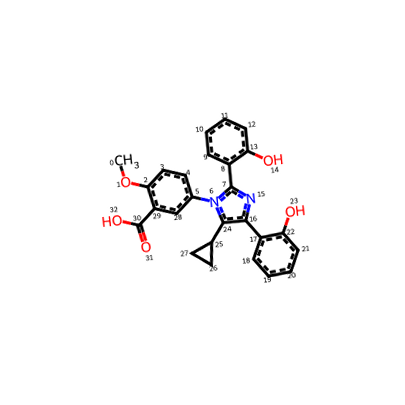 COc1ccc(-n2c(-c3ccccc3O)nc(-c3ccccc3O)c2C2CC2)cc1C(=O)O